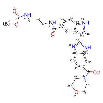 CC(C)(C)OC(=O)NCCCNC(=O)c1ccc2[nH]nc(-c3nc4ccc(C(=O)N5CCOCC5)cc4[nH]3)c2c1